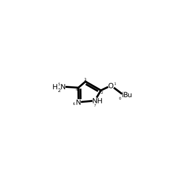 CCC(C)Oc1cc(N)n[nH]1